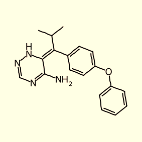 CC(C)/C(=C1\NN=CN=C1N)c1ccc(Oc2ccccc2)cc1